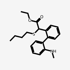 CCCCSC(C(=O)OCC)c1ccccc1-c1ccccc1NC